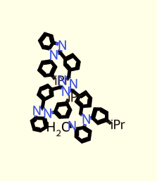 C=Nc1ccccc1N(Cc1cccc(-c2nc(-c3cccc(-c4nc5ccccc5n4-c4cccc(C(C)C)c4)c3)nc(-c3cccc(-c4nc5ccccc5n4-c4cccc(C(C)C)c4)c3)n2)c1)c1cccc(C(C)C)c1